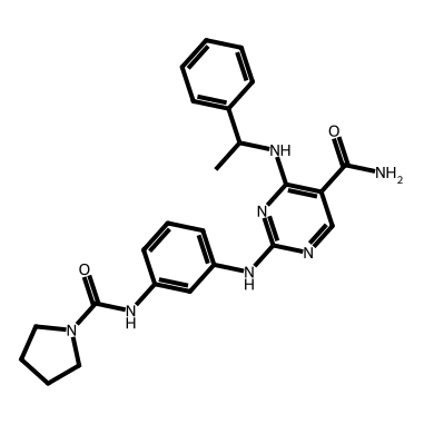 CC(Nc1nc(Nc2cccc(NC(=O)N3CCCC3)c2)ncc1C(N)=O)c1ccccc1